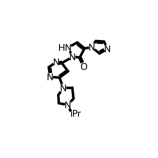 CC(C)N1CCN(c2cc(-n3[nH]cc(-n4ccnc4)c3=O)ncn2)CC1